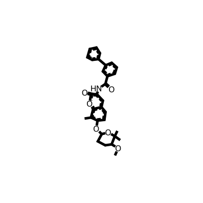 COC1CCC(Oc2ccc3cc(NC(=O)c4cccc(-c5ccccc5)c4)c(=O)oc3c2C)OC1(C)C